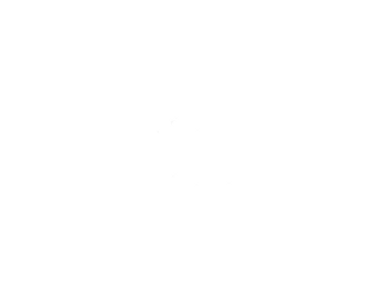 CCCCc1cc2c(s1)sc1c3cc(CCCC)sc3sc21